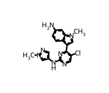 Cn1cc(Nc2ncc(Cl)c(-c3cn(C)c4cc(N)ccc34)n2)cn1